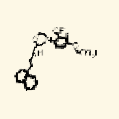 O=C(O)COc1ccc(N2CCOC(CNCCc3cccc4ccccc34)C2)c(C(F)(F)F)c1